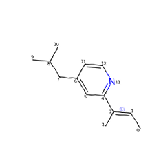 C/C=C(\C)c1cc(CC(C)C)ccn1